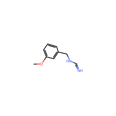 COc1cccc(CN[C]=N)c1